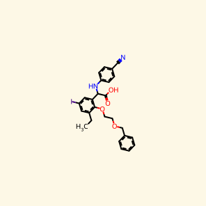 CCc1cc(I)cc(C(Nc2ccc(C#N)cc2)C(=O)O)c1OCCOCc1ccccc1